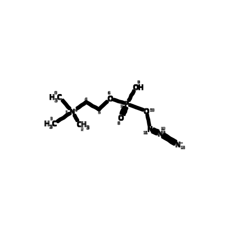 C[N+](C)(C)CCOP(=O)(O)ON=[N+]=[N-]